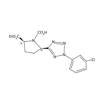 CCOC(=O)[C@@H]1CC[C@H](c2nnn(-c3cccc(Cl)c3)n2)N1C(=O)O